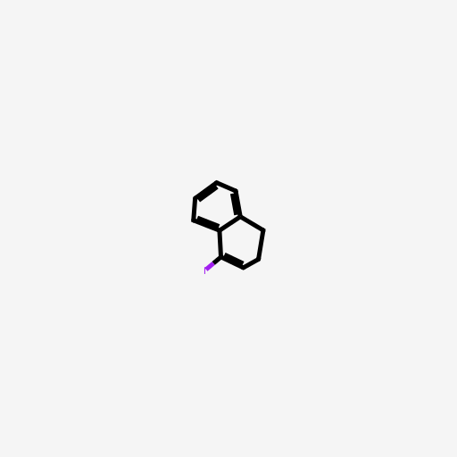 IC1=CCCc2ccccc21